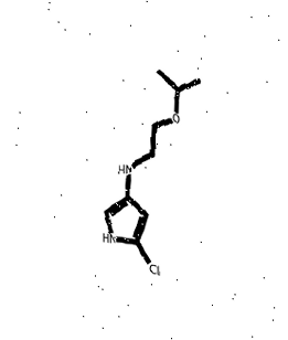 CC(C)OCCNc1c[nH]c(Cl)c1